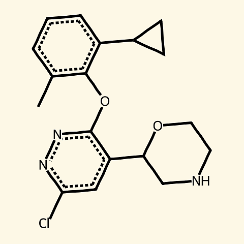 Cc1cccc(C2CC2)c1Oc1nnc(Cl)cc1C1CNCCO1